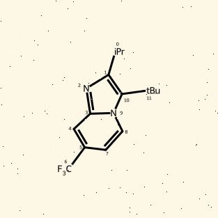 CC(C)c1nc2cc(C(F)(F)F)ccn2c1C(C)(C)C